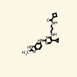 Cc1nc2ccc(Nc3ncc(C4CC4)c(NCCCNC(=O)C4CCC4)n3)cc2[nH]1